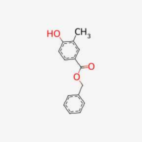 Cc1cc(C(=O)OCc2ccccc2)ccc1O